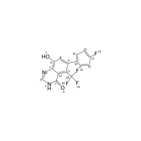 O=c1[nH]cnc2c(O)cc(-c3ccc(F)cc3)c(C(F)(F)F)c12